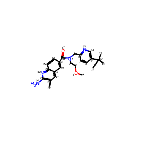 COCCN(Cc1ccc(C(C)(C)C)cn1)C(=O)c1ccc2nc(N)c(C)cc2c1